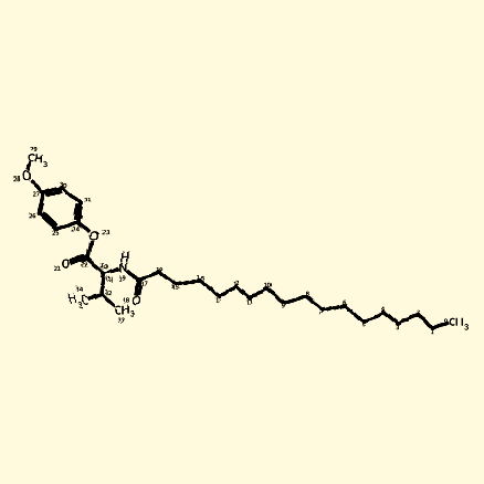 CCCCCCCCCCCCCCCCCC(=O)N[C@H](C(=O)Oc1ccc(OC)cc1)C(C)C